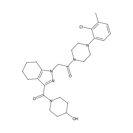 Cc1cccc(N2CCN(C(=O)Cn3nc(C(=O)N4CCC(O)CC4)c4c3CCCC4)CC2)c1Cl